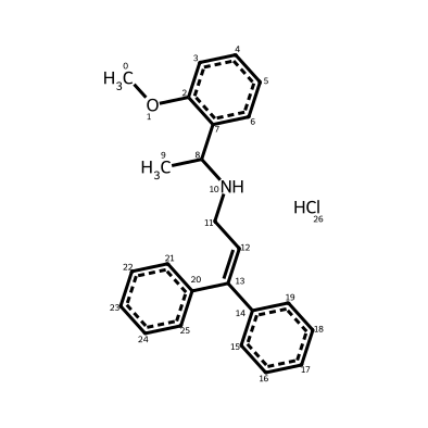 COc1ccccc1C(C)NCC=C(c1ccccc1)c1ccccc1.Cl